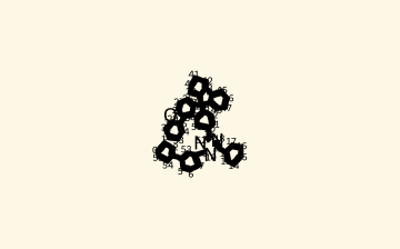 c1ccc(-c2cccc(-c3nc(-c4ccccc4)nc(-c4ccc(C5(c6ccc7oc8ccccc8c7c6)c6ccccc6-c6ccccc65)cc4)n3)c2)cc1